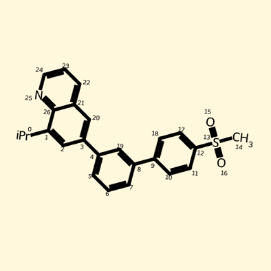 CC(C)c1cc(-c2cccc(-c3ccc(S(C)(=O)=O)cc3)c2)cc2cccnc12